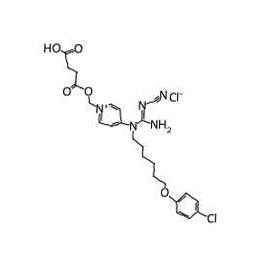 N#CN=C(N)N(CCCCCCOc1ccc(Cl)cc1)c1cc[n+](COC(=O)CCC(=O)O)cc1.[Cl-]